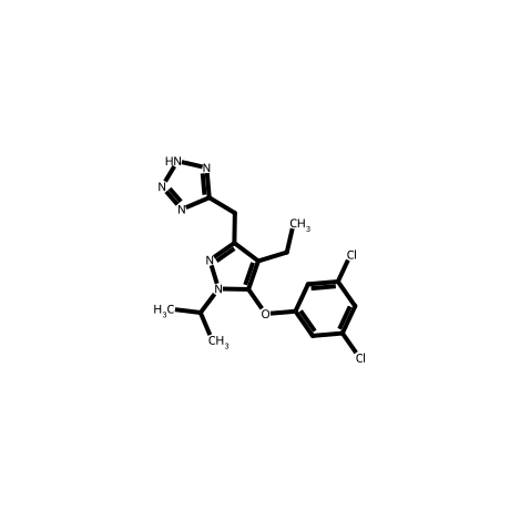 CCc1c(Cc2nn[nH]n2)nn(C(C)C)c1Oc1cc(Cl)cc(Cl)c1